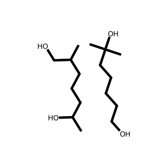 CC(C)(O)CCCCCO.CC(O)CCCC(C)CO